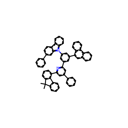 CC1(C)c2ccccc2-c2c(-c3cc(-c4ccccc4)cc(-c4cc(-c5cc6ccccc6c6ccccc56)cc(-n5c6ccccc6c6ccc(-c7ccccc7)cc65)c4)n3)cccc21